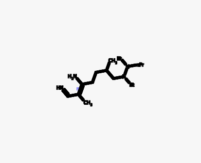 CCCN(CC)N(CC)CC(C)CC/C(N)=C(\C)C=N